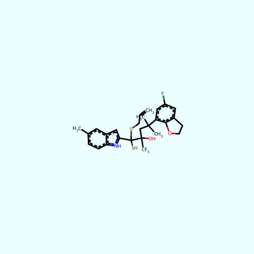 C=CCSC(S)(c1cc2cc(C)ccc2[nH]1)C(O)(CC(C)(C)c1cc(F)cc2c1OCC2)C(F)(F)F